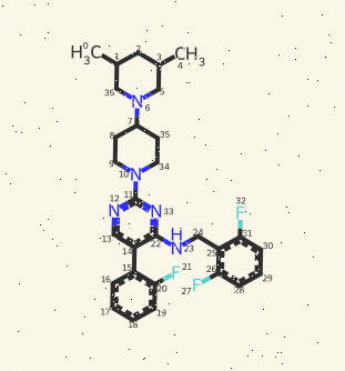 CC1CC(C)CN(C2CCN(c3ncc(-c4ccccc4F)c(NCc4c(F)cccc4F)n3)CC2)C1